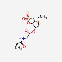 C=CC(=O)NCC(=O)OC1C2OC3C1OS(=O)(=O)C3C2C